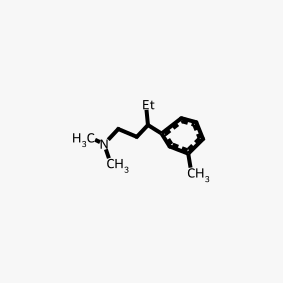 CCC(CCN(C)C)c1cccc(C)c1